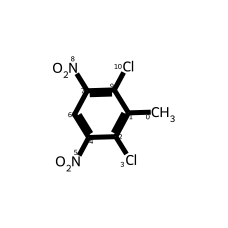 Cc1c(Cl)c([N+](=O)[O-])cc([N+](=O)[O-])c1Cl